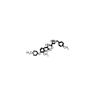 Cc1ccc(Cn2cc(C(=O)Nc3cc4ccc(OC5CCN(C)CC5)c(C)c4oc3=O)nn2)cc1